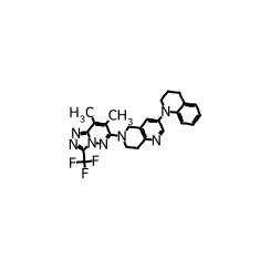 Cc1c(N2CCc3ncc(N4CCCc5ccccc54)cc3C2)nn2c(C(F)(F)F)nnc2c1C